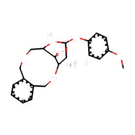 COc1ccc(OC2O[C@@H]3COCc4ccccc4CO[C@@H]([C@@H]3O)[C@H]2O)cc1